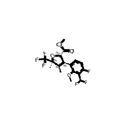 COC(=O)[C@H]1O[C@](C)(C(F)(F)F)[C@H](C)[C@@H]1c1ccc(F)c(C(F)F)c1OC